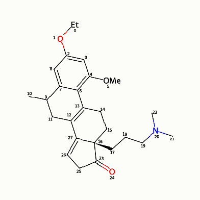 CCOc1cc(OC)c2c(c1)C(C)CC1=C2CC[C@]2(CCCN(C)C)C(=O)CC=C12